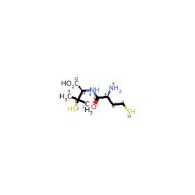 CC(C)(S)[C@H](NC(=O)[C@@H](N)CCS)C(=O)O